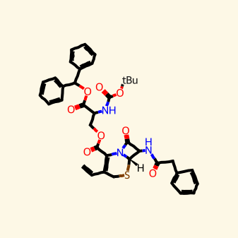 C=CC1=C(C(=O)OCC(NC(=O)OC(C)(C)C)C(=O)OC(c2ccccc2)c2ccccc2)N2C(=O)C(NC(=O)Cc3ccccc3)[C@@H]2SC1